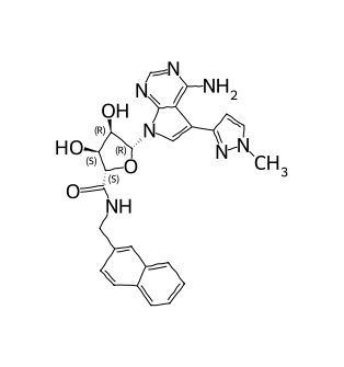 Cn1ccc(-c2cn([C@@H]3O[C@H](C(=O)NCc4ccc5ccccc5c4)[C@@H](O)[C@H]3O)c3ncnc(N)c23)n1